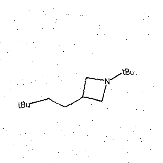 CC(C)(C)CCC1CN(C(C)(C)C)C1